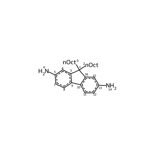 CCCCCCCCC1(CCCCCCCC)c2cc(N)ccc2-c2ccc(N)cc21